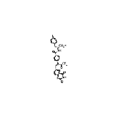 Cc1ccc(C[C@@H](NC(=O)c2ccc(N(Cc3cnc4nc(Cl)[nH]c(=O)c4n3)C(=O)C(F)(F)F)cc2)C(=O)O)cc1